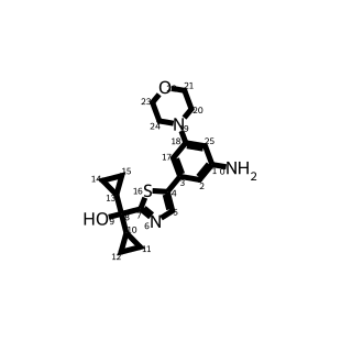 Nc1cc(-c2cnc(C(O)(C3CC3)C3CC3)s2)cc(N2CCOCC2)c1